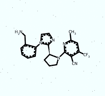 Cc1cc(C(F)(F)F)c(C#N)c(N2CCC[C@H]2c2nccn2-c2ccccc2CN)n1